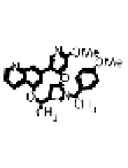 COc1ccc(C(C)N2C[C@H]([C@@H](C)Oc3cc(-c4ccc(OC)nc4)cc4ncccc34)CC2=O)cc1